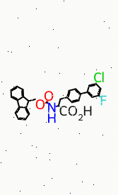 O=C(N[C@@H](Cc1ccc(-c2cc(F)cc(Cl)c2)cc1)C(=O)O)OCC1c2ccccc2-c2ccccc21